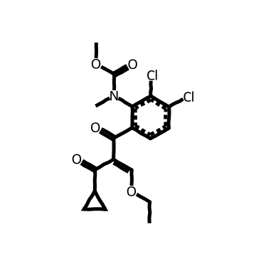 CCOC=C(C(=O)c1ccc(Cl)c(Cl)c1N(C)C(=O)OC)C(=O)C1CC1